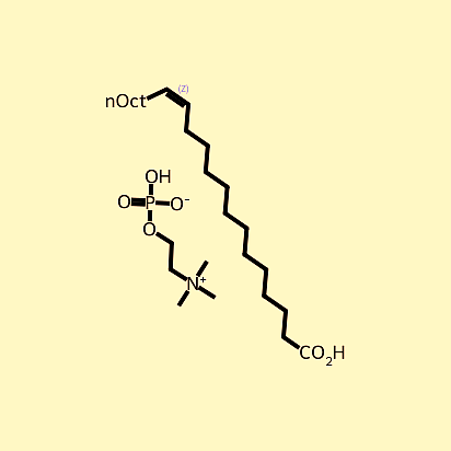 CCCCCCCC/C=C\CCCCCCCCCCCC(=O)O.C[N+](C)(C)CCOP(=O)([O-])O